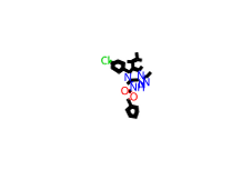 CC(C)=C(C)C1=C(C)n2c(C)nnc2C(C)(NC(=O)OCc2ccccc2)N=C1c1ccc(Cl)cc1